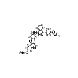 COc1cnc2c(Oc3ccc(Nc4nnc(-c5ccc(OC(F)(F)F)cc5)c5ccccc45)cc3)ccnc2c1